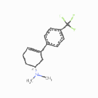 CN(C)[C@@H]1CCC=C(c2ccc(C(F)(F)F)cc2)C1